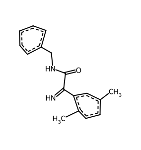 Cc1ccc(C)c(C(=N)C(=O)NCc2ccccc2)c1